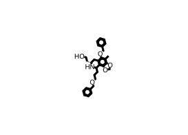 Cc1c(OCc2ccccc2)c2c(c3c1OCO3)C(CCCOCc1ccccc1)N[C@H](CCO)C2